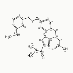 CNc1cccc(CCOc2ccc(CC(CC(=O)O)c3nc(C(=O)N(C)C)co3)cc2)n1